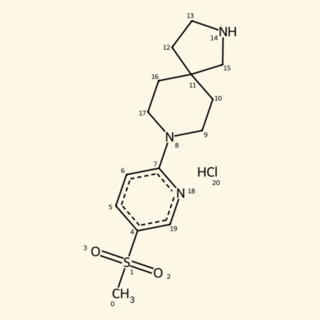 CS(=O)(=O)c1ccc(N2CCC3(CCNC3)CC2)nc1.Cl